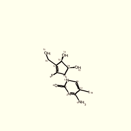 Nc1nc(=O)n([C@@H]2C(F)=C(CO)[C@@H](O)[C@H]2O)cc1I